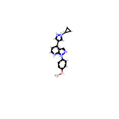 FC(F)(F)Oc1ccc(-n2ncc3c(-c4cnn(C5CC5)c4)ccnc32)cc1